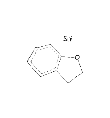 [Sn].c1ccc2c(c1)CCO2